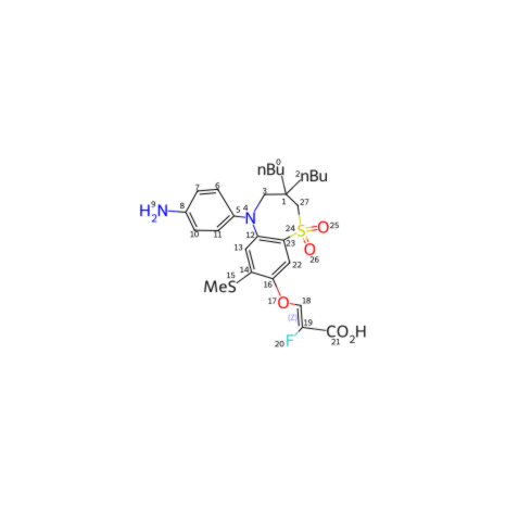 CCCCC1(CCCC)CN(c2ccc(N)cc2)c2cc(SC)c(O/C=C(\F)C(=O)O)cc2S(=O)(=O)C1